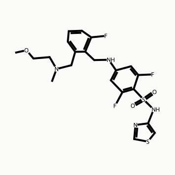 COCCN(C)Cc1cccc(F)c1CNc1cc(F)c(S(=O)(=O)Nc2cscn2)c(F)c1